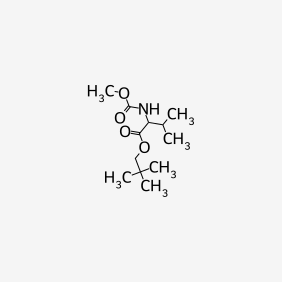 COC(=O)NC(C(=O)OCC(C)(C)C)C(C)C